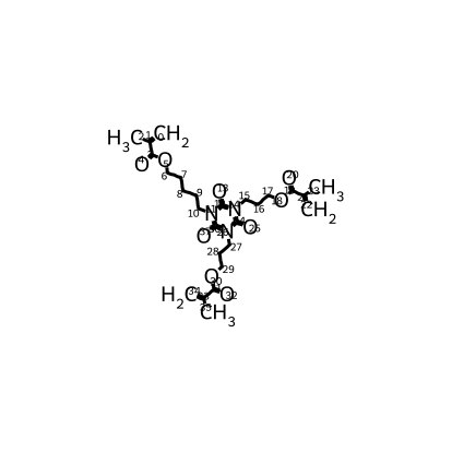 C=C(C)C(=O)OCCCCCn1c(=O)n(CCCOC(=O)C(=C)C)c(=O)n(CCCOC(=O)C(=C)C)c1=O